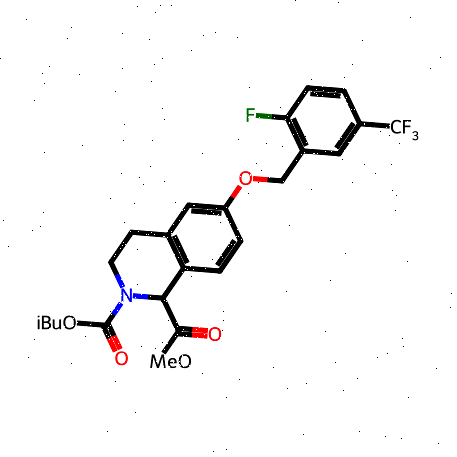 COC(=O)C1c2ccc(OCc3cc(C(F)(F)F)ccc3F)cc2CCN1C(=O)OCC(C)C